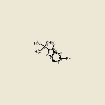 CC(C)(C)c1sc2ccc(F)cc2c1Cl